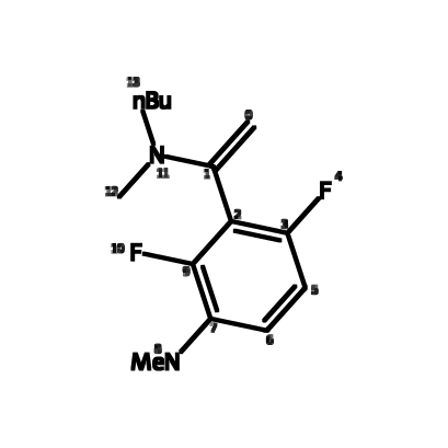 C=C(c1c(F)ccc(NC)c1F)N(C)CCCC